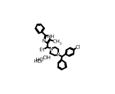 CCC(c1nc(-c2ccccc2)[nH]c1C)N1CCN(C(c2ccccc2)c2ccc(Cl)cc2)CC1.Cl.Cl.Cl